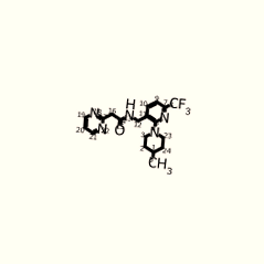 CC1CCN(c2nc(C(F)(F)F)ccc2CNC(=O)Cc2ncccn2)CC1